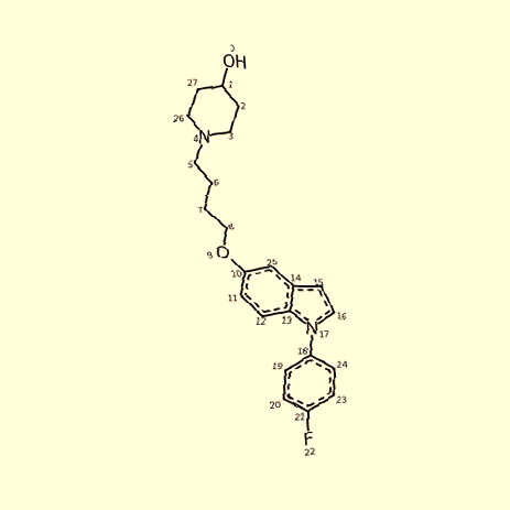 OC1CCN(CCCCOc2ccc3c(ccn3-c3ccc(F)cc3)c2)CC1